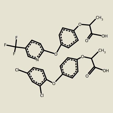 CC(Oc1ccc(Oc2ccc(C(F)(F)F)cn2)cc1)C(=O)O.CC(Oc1ccc(Oc2ccc(Cl)cc2Cl)cc1)C(=O)O